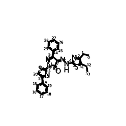 CCc1nc(N/N=C2\C(=O)N(c3nc(-c4ccccc4)cs3)N=C2c2ccccc2)sc1CC